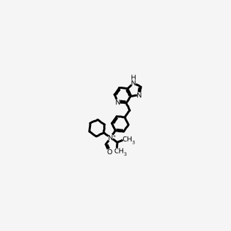 CC(C)[N+](C=O)(C1=CCC(Cc2nccc3[nH]cnc23)C=C1)C1CCCCC1